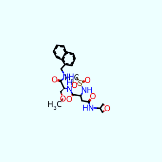 COC[C@H](NC(=O)C(CC(=O)NC1COC1)NS(C)(=O)=O)C(=O)NCc1cccc2ccccc12